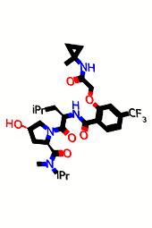 CC(C)C[C@@H](NC(=O)c1ccc(C(F)(F)F)cc1OCC(=O)NC1(C)CC1)C(=O)N1C[C@@H](O)C[C@@H]1C(=O)N(C)C(C)C